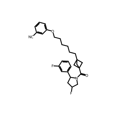 N#Cc1cccc(OCCCCCCC23CC(C(=O)N4CC(F)CC4c4cccc(F)c4)(C2)C3)c1